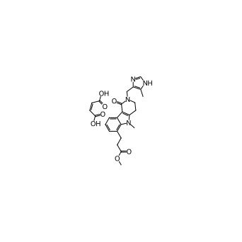 COC(=O)CCc1cccc2c3c(n(C)c12)CCN(Cc1nc[nH]c1C)C3=O.O=C(O)/C=C\C(=O)O